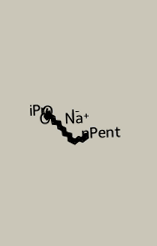 CCCCC/C=C\C/C=C\CCCCCCCC(=O)OC(C)C.[I-].[Na+]